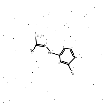 CCOC(=O)C(C#N)=NNc1cccc(Cl)c1